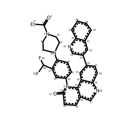 CCC(=O)N1CCN(c2ccc(-n3c(=O)ccc4cnc5ccc(-c6cnc7ccccc7c6)cc5c43)cc2C(F)F)CC1